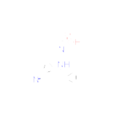 N#CCc1ccc(CC2(CN[C@@H]3C[C@H]3c3ccccc3)CCN(CC3(C(=O)O)CCC3)CC2)cc1